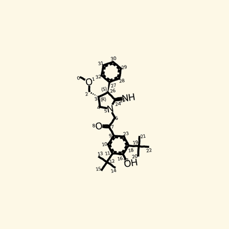 COC[C@H]1CN(CC(=O)c2cc(C(C)(C)C)c(O)c(C(C)(C)C)c2)C(=N)[C@@H]1c1ccccc1